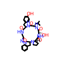 CC(C)C[C@@H]1NC(=O)[C@H](CO)NC(=O)[C@@H]2CCCN2C(Cc2ccccc2)c2nnc(o2)CNC(=O)C(Cc2ccc(O)cc2)NC1=O